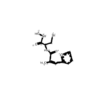 CC(=Cc1ccco1)C(=O)NC(CS)C(=O)NO